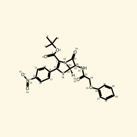 CC(C)(C)OC(=O)C1=C(c2ccc([N+](=O)[O-])cc2)S[C@H]2[C@H](NC(=O)COc3ccccc3)C(=O)N12